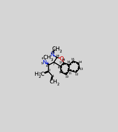 C=CC(=C)/C(=N/C)C1c2ccc3ccccc3c2OC1N=C